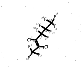 FC(F)(F)/C(Cl)=C(\Cl)C(F)(F)C(F)(F)C(F)(F)F